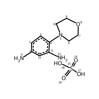 Nc1ccc(N2CCOCC2)c(N)c1.O=S(=O)(O)O